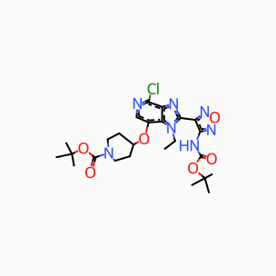 CCn1c(-c2nonc2NC(=O)OC(C)(C)C)nc2c(Cl)ncc(OC3CCN(C(=O)OC(C)(C)C)CC3)c21